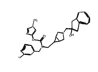 Cn1cnc(OC(=O)N(Cc2cccc(Cl)c2)CC2C3CN(CC4(O)Cc5ccccc5C4)CC32)c1